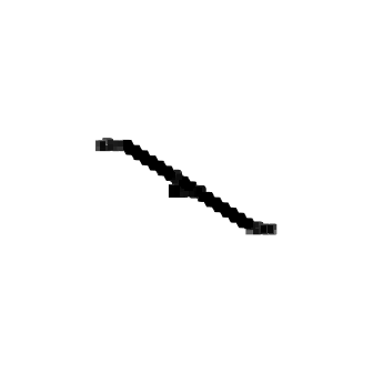 CCCCCCCCCCCCCCCCCCCCCCOOCC(O)COOCCCCCCCCCCCCCCCCCCCCCC